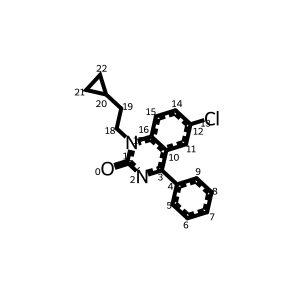 O=c1nc(-c2ccccc2)c2cc(Cl)ccc2n1CCC1CC1